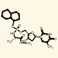 COC(=O)[C@H](C)NP(=O)(OC[C@H]1O[C@@H](n2cc(C)c(=O)[nH]c2=O)C[C@H]1O)Oc1cccc2ccccc12